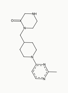 Cc1nccc(N2CCC(CN3CCNCC3=O)CC2)n1